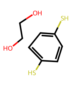 OCCO.Sc1ccc(S)cc1